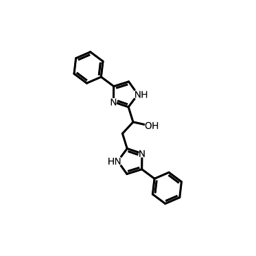 OC(Cc1nc(-c2ccccc2)c[nH]1)c1nc(-c2ccccc2)c[nH]1